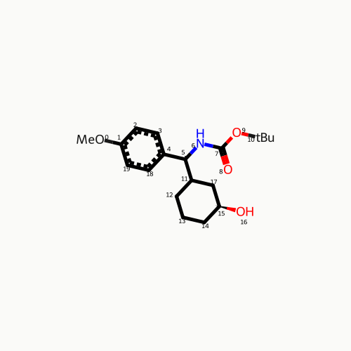 COc1ccc([C](NC(=O)OC(C)(C)C)C2CCC[C@H](O)C2)cc1